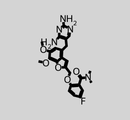 COc1cc(Cc2cnc(N)nc2N)c2cc(COc3ccc(F)cc3C(=O)N(C)C)oc2c1OC